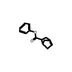 O=C(Oc1ccccc1)C1CC2=CCC1C2